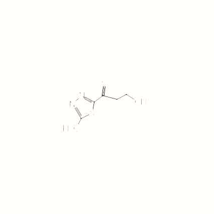 CCCC(=O)c1nnc(C)s1